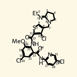 CCN=C1CCCN1Cc1csc(C(=O)Nc2c(OC)cc(Cl)cc2C(=O)Nc2ccc(Cl)cn2)c1Cl